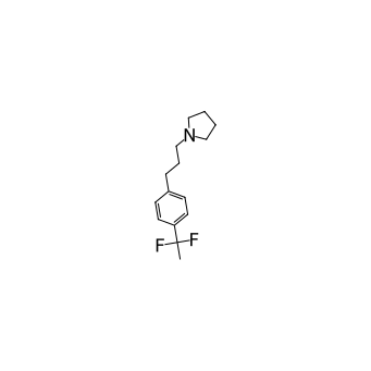 CC(F)(F)c1ccc(CCCN2CCCC2)cc1